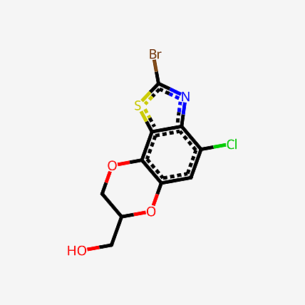 OCC1COc2c(cc(Cl)c3nc(Br)sc23)O1